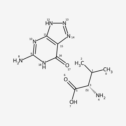 CC(C)[C@H](N)C(=O)O.Nc1nc2[nH]nnc2c(=O)[nH]1